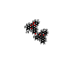 C#N.Fc1c(F)c(F)c2c(F)c(B(c3c(F)c(F)c4c(F)c(F)c(F)c(F)c4c3F)c3c(F)c(F)c4c(F)c(F)c(F)c(F)c4c3F)c(F)c(F)c2c1F.Fc1c(F)c(F)c2c(F)c(B(c3c(F)c(F)c4c(F)c(F)c(F)c(F)c4c3F)c3c(F)c(F)c4c(F)c(F)c(F)c(F)c4c3F)c(F)c(F)c2c1F